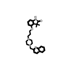 CC1(C)C(=O)Nc2cccc(OCCCN3CCN(Cc4ccc5ccccc5n4)CC3)c21